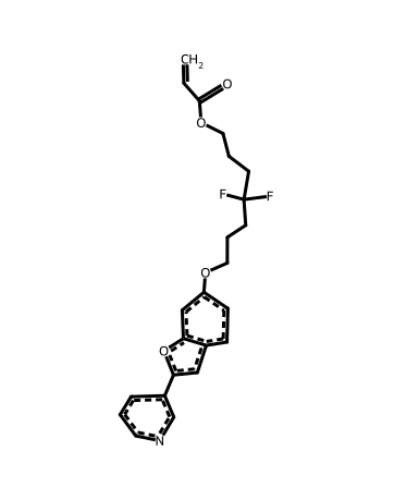 C=CC(=O)OCCCC(F)(F)CCCOc1ccc2cc(-c3cccnc3)oc2c1